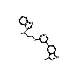 Cc1n[nH]c2ccc(-c3cncc(OCCN(C)n4cnc5ccccc54)c3)cc12